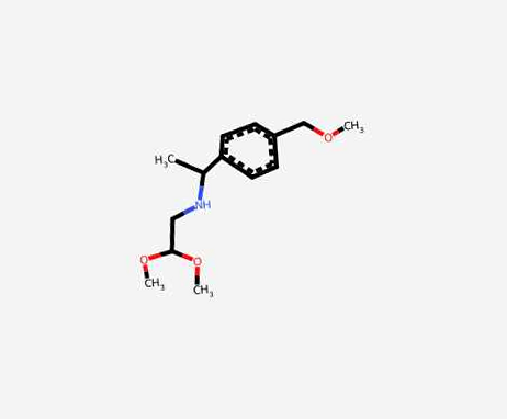 COCc1ccc(C(C)NCC(OC)OC)cc1